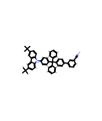 CC(C)(C)c1ccc2c(c1)c1cc(C(C)(C)C)ccc1n2-c1ccc(C(c2ccccc2)(c2ccccc2)c2ccc(-c3cccc(C#N)c3)cc2)cc1